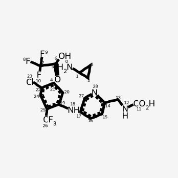 NC1CC1.O=C(O)C(F)(F)F.O=C(O)NCc1ccc(Nc2ccc(Cl)cc2C(F)(F)F)cn1